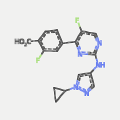 O=C(O)c1ccc(-c2nc(Nc3cnn(C4CC4)c3)ncc2F)cc1F